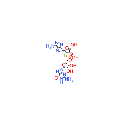 Nc1nc2c(ncn2[C@@H]2O[C@H](COP(=O)(O)OC3C(F)[C@H](n4cnc5c(N)ncnc54)O[C@@H]3CO)C(O)C2O)c(=O)[nH]1